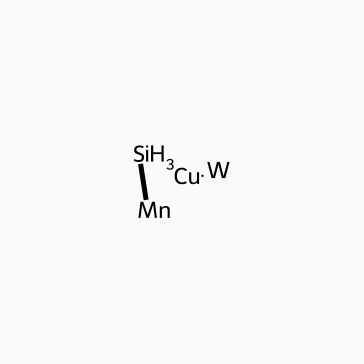 [Cu].[SiH3][Mn].[W]